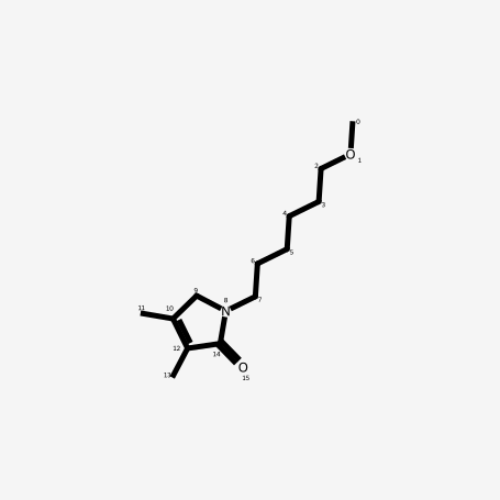 COCCCCCCN1CC(C)=C(C)C1=O